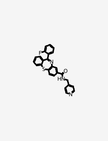 O=C(NCc1ccncc1)c1ccc2c(c1)N=C(c1ccccc1F)c1ccccc1S2